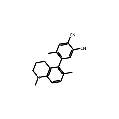 Cc1cc(C#N)c(C#N)cc1-c1c(C)ccc2c1CCCN2C